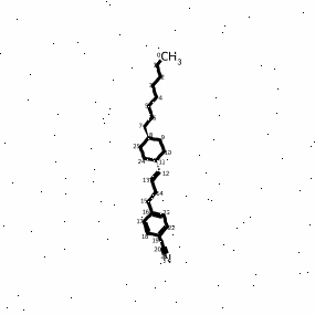 CCCCCCCC[C@H]1CC[C@H](C=CCCc2ccc(C#N)cc2)CC1